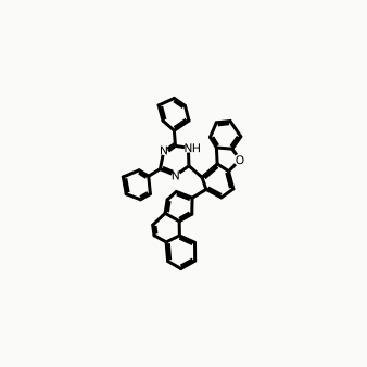 c1ccc(C2=NC(c3c(-c4ccc5ccc6ccccc6c5c4)ccc4oc5ccccc5c34)NC(c3ccccc3)=N2)cc1